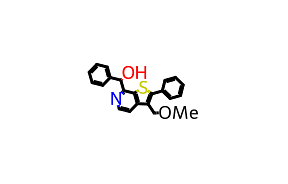 COCc1c(-c2ccccc2)sc2c(C(O)c3ccccc3)nccc12